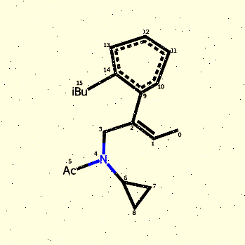 C/C=C(/CN(C(C)=O)C1CC1)c1ccccc1C(C)CC